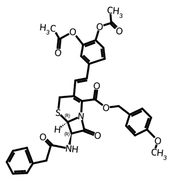 COc1ccc(COC(=O)C2=C(C=Cc3ccc(OC(C)=O)c(OC(C)=O)c3)CS[C@@H]3[C@H](NC(=O)Cc4ccccc4)C(=O)N23)cc1